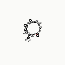 CCCC[C@H]1C(=O)NC2(CCCC2)C(=O)N(C)[C@@H](C2CCCCC2)C(=O)N(C)[C@H](C(=O)N2CCCCC2)CC(=O)N(C)[C@@H](CC(C)C)C(=O)N[C@@H]([C@@H](C)CC)C(=O)N(C)CC(=O)N(C)CC(=O)N(C)[C@@H](CC2CCCCC2)C(=O)N(C)CC(=O)N[C@@H](CCc2ccc(C(F)(F)F)c(Cl)c2)C(=O)N1C